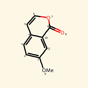 COc1ccc2ccoc(=O)c2c1